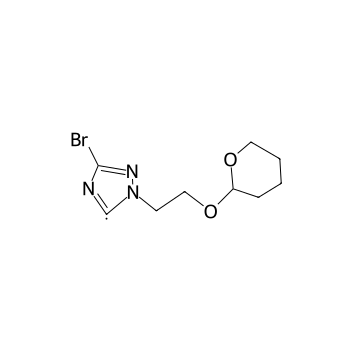 Brc1n[c]n(CCOC2CCCCO2)n1